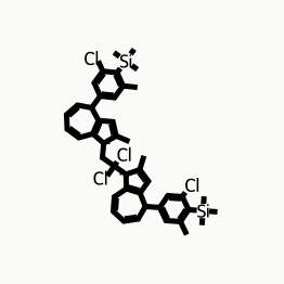 CC1=CC2=C(C=CC=CC2c2cc(C)c([Si](C)(C)C)c(Cl)c2)[C]1CC(Cl)(Cl)[C]1C(C)=CC2=C1C=CC=CC2c1cc(C)c([Si](C)(C)C)c(Cl)c1